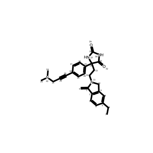 C=C1c2ccc(CC)cc2CN1CCC1(c2ccc(C#CCN(C)C)cc2)NC(=O)NC1=O